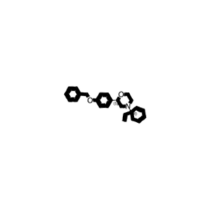 C=C[C@@]1(N2CCO[C@@H](c3ccc(OCc4ccccc4)cc3)C2)C=CC=CC1